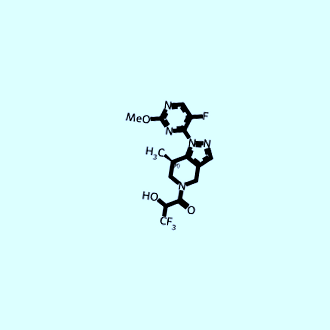 COc1ncc(F)c(-n2ncc3c2[C@H](C)CN(C(=O)C(O)C(F)(F)F)C3)n1